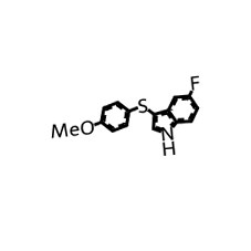 COc1ccc(Sc2c[nH]c3ccc(F)cc23)cc1